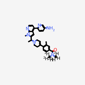 [2H]C([2H])([2H])N(C(=O)c1ccc(C2=CCN(C(C)c3cc4c(-c5ccc(N)cn5)ccnc4n3C)CC2)c(C)c1)C([2H])([2H])[2H]